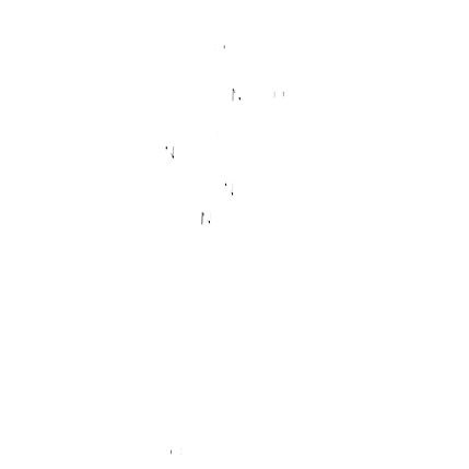 O=Cc1ccc(-n2cnc([N+](=O)[O-])n2)cc1